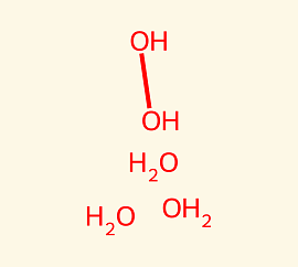 O.O.O.OO